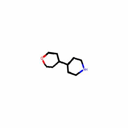 C1CC(C2CCOCC2)CCN1